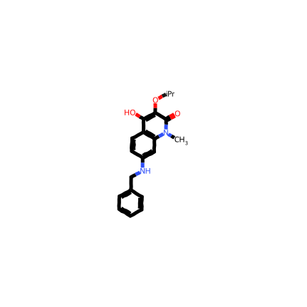 CC(C)Oc1c(O)c2ccc(NCc3ccccc3)cc2n(C)c1=O